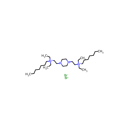 CCCCCCC[N+](CC)(CC)CCN1CCN(CC[N+](CC)(CC)CCCCCCC)CC1.[Br-].[Br-]